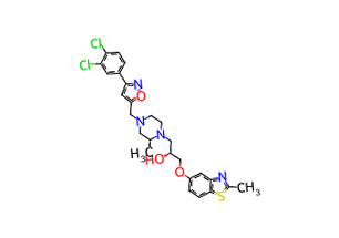 Cc1nc2cc(OC[C@@H](O)CN3CCN(Cc4cc(-c5ccc(Cl)c(Cl)c5)no4)C[C@@H]3C)ccc2s1